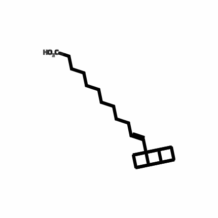 O=C(O)CCCCCCCCCC=CC12C3C4C5C3C1C5C42